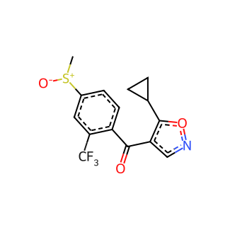 C[S+]([O-])c1ccc(C(=O)c2cnoc2C2CC2)c(C(F)(F)F)c1